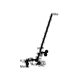 CCCCc1nc2c(N)nc3cc(C(=O)OC)ccc3c2n1CCNC(=O)OCc1ccc(O[C@H]2O[C@H](COC(C)=O)[C@@H](OC(C)=O)[C@H](OC(C)=O)[C@@H]2OC(C)=O)c(NC(=O)CCNC(=O)[C@H](CCCCNC(=O)CCOCCOCCOCCOCCOCCOCCOCCOCCOCCOCCOCCOC)NC(=O)OCC2c3ccccc3-c3ccccc32)c1